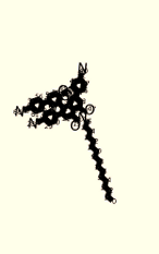 CCCCCCCCCCCCCCCCCN1C(=O)c2cc(-c3ccc(C#N)cc3)c3c4c(c(-c5ccc(C#N)cc5)cc(c24)C1=O)S(=O)(=O)c1ccc(-c2ccc(C#N)cc2)cc1-3